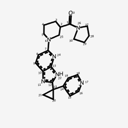 O=C(C1CCCN(c2ccc3nc(C4(c5ccncc5)CC4)[nH]c3n2)C1)N1CCCC1